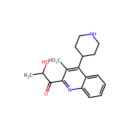 CC(O)C(=O)c1nc2ccccc2c(C2CCNCC2)c1C(=O)O